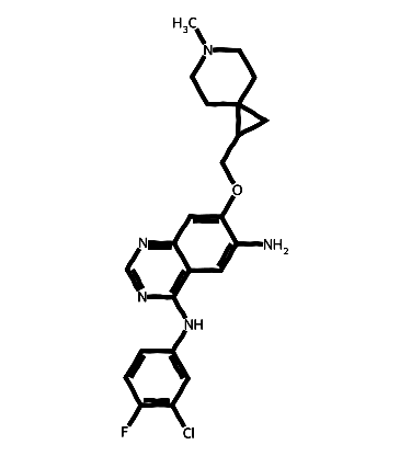 CN1CCC2(CC1)CC2COc1cc2ncnc(Nc3ccc(F)c(Cl)c3)c2cc1N